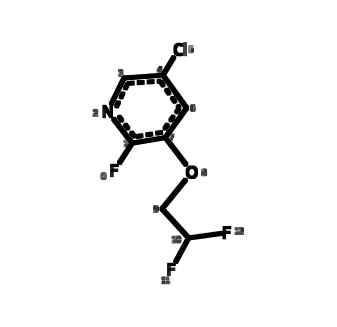 Fc1ncc(Cl)cc1OCC(F)F